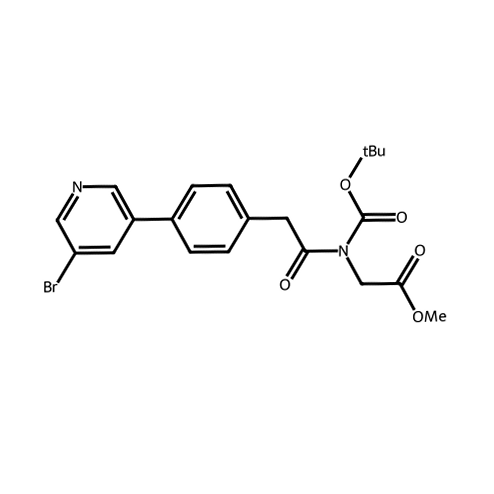 COC(=O)CN(C(=O)Cc1ccc(-c2cncc(Br)c2)cc1)C(=O)OC(C)(C)C